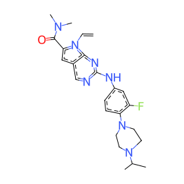 C=Cn1c(C(=O)N(C)C)cc2cnc(Nc3ccc(N4CCN(C(C)C)CC4)c(F)c3)nc21